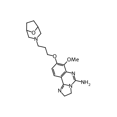 COc1c(OCCCN2CC3CCC(C2)O3)ccc2c1N=C(N)N1CCN=C21